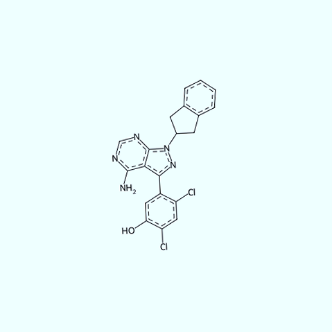 Nc1ncnc2c1c(-c1cc(O)c(Cl)cc1Cl)nn2C1Cc2ccccc2C1